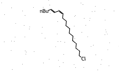 CCCC/C=C/C=C\CCCCCCCCCCCCl